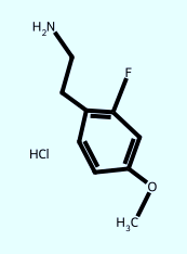 COc1ccc(CCN)c(F)c1.Cl